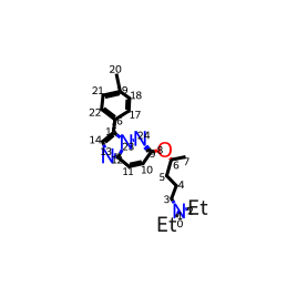 CCN(CC)CCCC(C)Oc1ccc2ncc(-c3ccc(C)cc3)n2n1